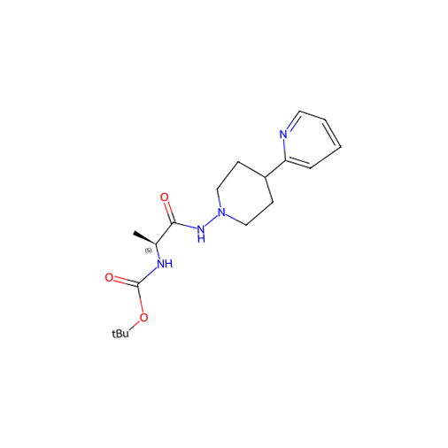 C[C@H](NC(=O)OC(C)(C)C)C(=O)NN1CCC(c2ccccn2)CC1